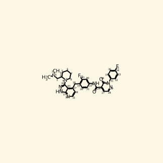 CN(C)CC1CCCCN1c1n[nH]c2nccc(Cc3ccc(NC(=O)c4ccnn(-c5ccc(F)cc5)c4=O)cc3F)c12